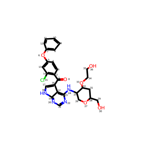 O=C(c1ccc(Oc2ccccc2)cc1Cl)c1c[nH]c2ncnc(NC3COC(CO)CC3OCCO)c12